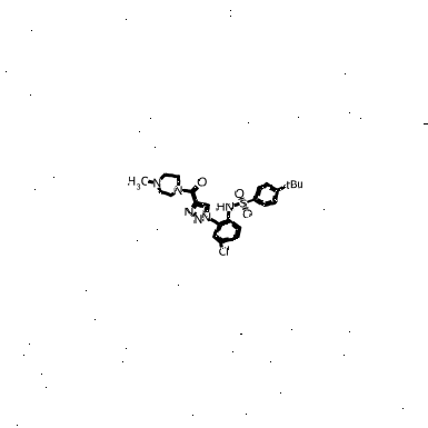 CN1CCN(C(=O)c2cn(-c3cc(Cl)ccc3NS(=O)(=O)c3ccc(C(C)(C)C)cc3)nn2)CC1